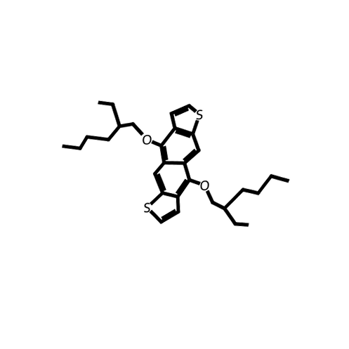 CCCCC(CC)COc1c2ccsc2cc2c(OCC(CC)CCCC)c3ccsc3cc12